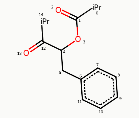 CC(C)C(=O)OC(Cc1ccccc1)C(=O)C(C)C